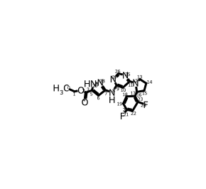 CCOC(=O)c1cc(Nc2cc(N3CCCC3c3ccc(F)cc3F)ncn2)n[nH]1